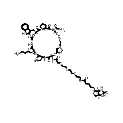 CC(C)C[C@@H]1NC(=O)[C@@H](NC(=O)COCCOCCOCCNC(=O)CCCC[C@@H]2SC[C@@H]3NC(=O)N[C@@H]32)Cc2cn(nn2)CCCC[C@@H](C(N)=O)NC(=O)[C@@H]2CCCN2C(=O)[C@H](Cc2c[nH]c3ccccc23)NC(=O)CNC(=O)[C@H](CCCCN)NC1=O